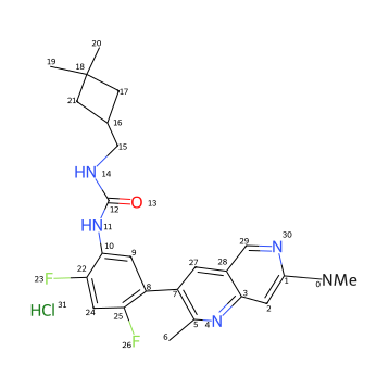 CNc1cc2nc(C)c(-c3cc(NC(=O)NCC4CC(C)(C)C4)c(F)cc3F)cc2cn1.Cl